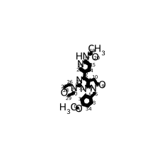 COc1ccc(CN2C(=O)Cc3c(-c4ccc(NC(C)=O)nc4)nc(N4CCOCC4)nc32)cc1